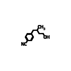 CC(CCO)Cc1ccc(C#N)cc1